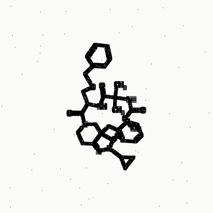 CC(C)(C)OC(=O)NC(C)(C)C(=O)NC(COCc1ccccc1)C(=O)N1CCC2=NN(C3CC3)C(=O)C2(Cc2ccccn2)C1